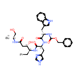 CC[C@H](C)[C@@H](CO)NC(=O)C[C@H](O)[C@H](CC(C)C)NC(=O)[C@H](Cc1c[nH]cn1)NC(=O)[C@H](Cc1c[nH]c2ccccc12)NC(=O)OCc1ccccc1